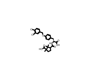 CC1(C(=O)O)CCC(C(=O)N[C@@H](Cc2ccc(OCc3ccc(Cl)c(Cl)c3)cc2)C(=O)O)C1(C)C